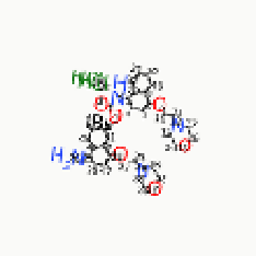 CC(C)(C)OC(=O)Nc1ccc(OCCN2CCOCC2)c2ccccc12.Cl.Cl.Nc1ccc(OCCN2CCOCC2)c2ccccc12